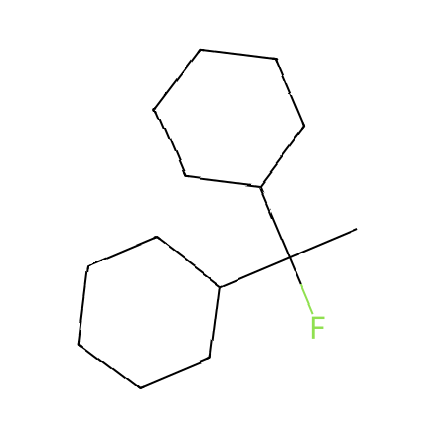 CC(F)(C1CCCCC1)C1CCCCC1